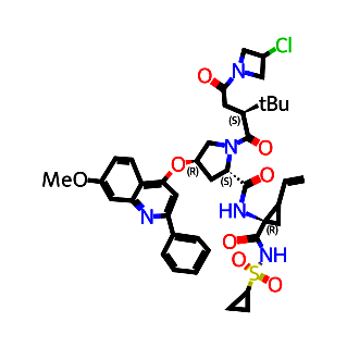 C=CC1C[C@]1(NC(=O)[C@@H]1C[C@@H](Oc2cc(-c3ccccc3)nc3cc(OC)ccc23)CN1C(=O)[C@@H](CC(=O)N1CC(Cl)C1)C(C)(C)C)C(=O)NS(=O)(=O)C1CC1